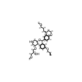 C=CCOc1ccc([C@@H]2[C@@H](OCc3ccc4c(c3)N(CCCOC)CCO4)CNC[C@H]2OC[C@H](O)COC)cc1